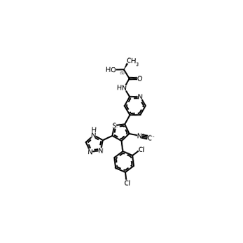 [C-]#[N+]c1c(-c2ccnc(NC(=O)[C@H](C)O)c2)sc(-c2nnc[nH]2)c1-c1ccc(Cl)cc1Cl